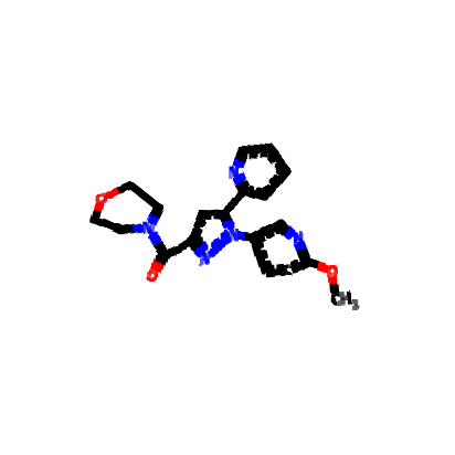 COc1ccc(-n2nc(C(=O)N3CCOCC3)cc2-c2ccccn2)cn1